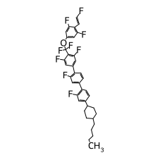 CCCCCC1CCC(c2ccc(-c3ccc(-c4cc(F)c(C(F)(F)Oc5cc(F)c(/C=C/F)c(F)c5)c(F)c4)c(F)c3)c(F)c2)CC1